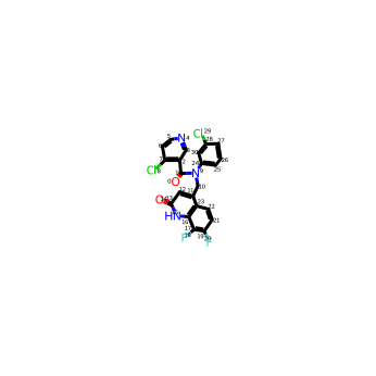 O=C(c1cnccc1Cl)N(Cc1cc(=O)[nH]c2c(F)c(F)ccc12)c1cccc(Cl)c1